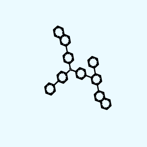 c1ccc(-c2ccc(N(c3ccc(-c4ccc5ccccc5c4)cc3)c3ccc(-c4cc(-c5ccc6ccccc6c5)ccc4-c4ccccc4)cc3)cc2)cc1